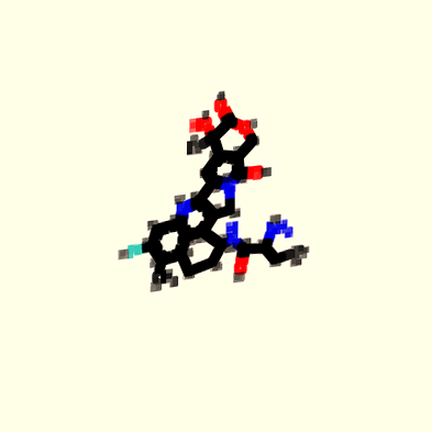 CCC1(O)C(=O)OCc2c1cc1n(c2=O)Cc2c-1nc1cc(F)c(C)c3c1c2C(NC(=O)C(N)CC(C)C)CC3